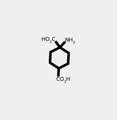 NC1(C(=O)O)CCC(C(=O)O)CC1